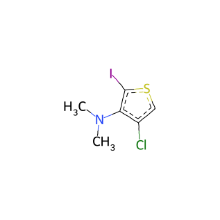 CN(C)c1c(Cl)csc1I